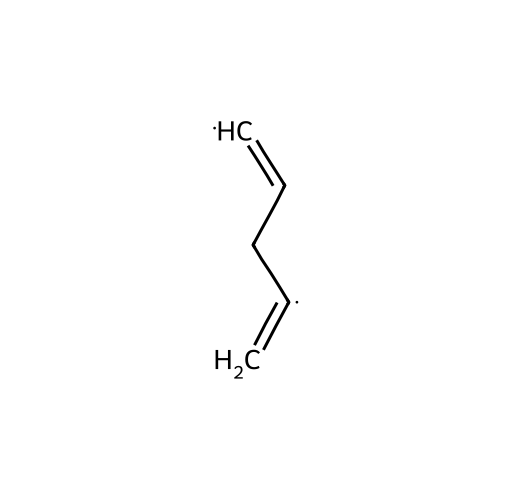 [CH]=CC[C]=C